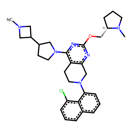 CN1CCC[C@H]1COc1nc2c(c(N3CCC(C4CN(C#N)C4)C3)n1)CCN(c1cccc3cccc(Cl)c13)C2